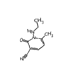 CCNn1c(C)ccc(C#N)c1=O